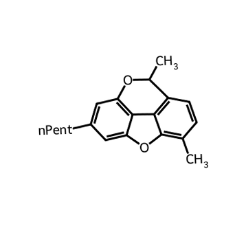 CCCCCc1cc2c3c(c1)oc1c(C)ccc(c13)C(C)O2